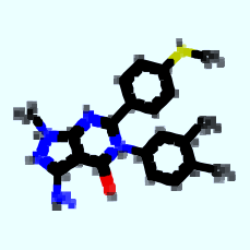 CSc1ccc(-c2nc3c(c(N)nn3C)c(=O)n2-c2ccc(C)c(C)c2)cc1